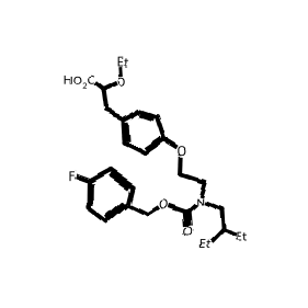 CCOC(Cc1ccc(OCCN(CC(CC)CC)C(=O)OCc2ccc(F)cc2)cc1)C(=O)O